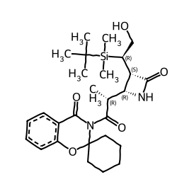 C[C@@H](C(=O)N1C(=O)c2ccccc2OC12CCCCC2)[C@H]1NC(=O)[C@H]1[C@H](CO)[Si](C)(C)C(C)(C)C